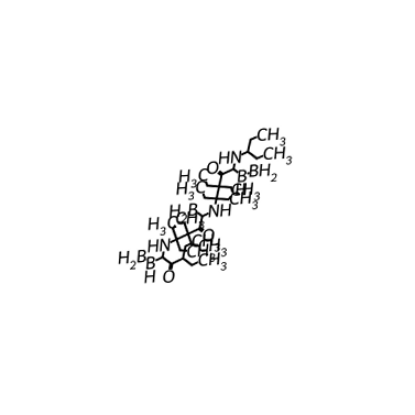 BBC(NC(CC)(CC)C(CC)(CC)C(=O)C(B)NC(CC)(CC)C(CC)(CC)C(=O)C(BB)NC(CC)CC)C(=O)C(CC)CC